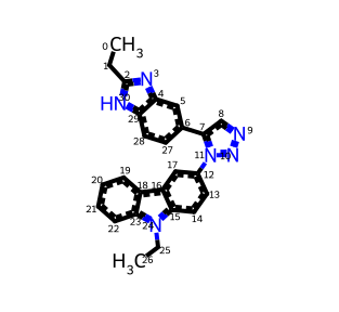 CCc1nc2cc(-c3cnnn3-c3ccc4c(c3)c3ccccc3n4CC)ccc2[nH]1